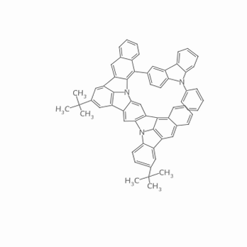 CC(C)(C)c1ccc2c(c1)c1cc3ccccc3c3c4cc5c(cc4n2c13)c1cc(C(C)(C)C)cc2c3cc4ccccc4c(-c4ccc6c(c4)c4ccccc4n6-c4ccccc4)c3n5c12